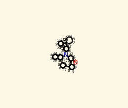 c1ccc(-c2cccc3oc4ccc(N(c5ccc(C6(c7ccccc7)CCCCCC6)cc5)c5ccc6ccccc6c5)cc4c23)cc1